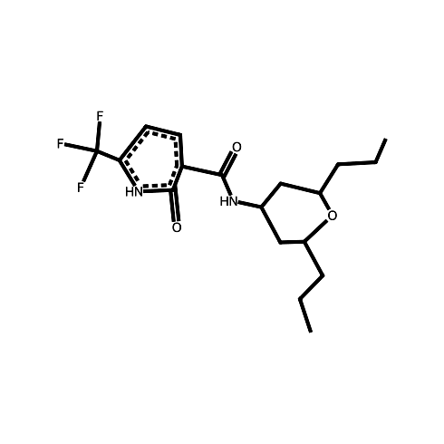 CCCC1CC(NC(=O)c2ccc(C(F)(F)F)[nH]c2=O)CC(CCC)O1